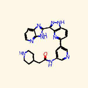 O=C(CC1CCNCC1)Nc1cncc(-c2ccc3[nH]nc(-c4nc5cccnc5[nH]4)c3n2)c1